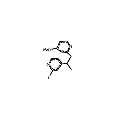 CSc1ccnc(CC(C)c2ccnc(F)c2)c1